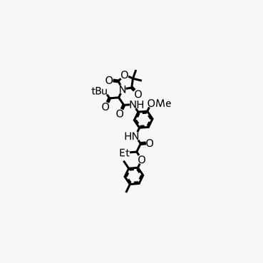 CCC(Oc1ccc(C)cc1C)C(=O)Nc1ccc(OC)c(NC(=O)C(C(=O)C(C)(C)C)N2C(=O)OC(C)(C)C2=O)c1